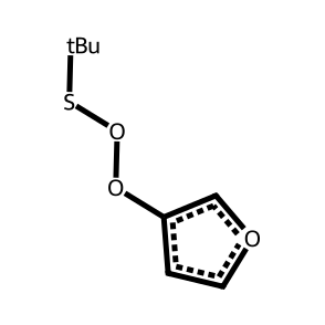 CC(C)(C)SOOc1ccoc1